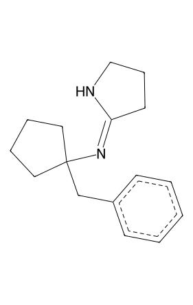 c1ccc(CC2(/N=C3/CCCN3)CCCC2)cc1